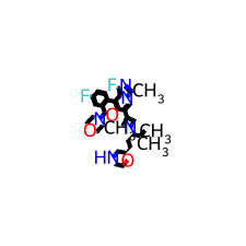 Cc1nc(F)c2c(-c3ccc(F)cc3C(=O)N3CCOC[C@H]3C)cc(C3CN([C@H](CC[C@@H]4CNCCO4)C(C)C)C3)cn12